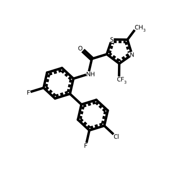 Cc1nc(C(F)(F)F)c(C(=O)Nc2ccc(F)cc2-c2ccc(Cl)c(F)c2)s1